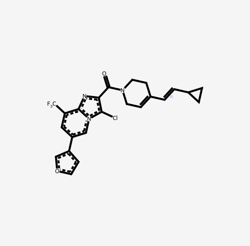 O=C(c1nc2c(C(F)(F)F)cc(-c3ccoc3)cn2c1Cl)N1CC=C(/C=C/C2CC2)CC1